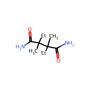 CCC(C)(C(N)=O)C(C)(CC)C(N)=O